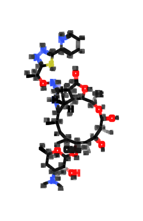 CC[C@@H]1OC(=O)[C@H](C)C(=O)[C@H](C)[C@@H](OC2O[C@H](C)C[C@H](N(C)C)[C@H]2O)[C@](C)(OC)C[C@@H](C)C2=N/C(=N\O[C@@H](C)c3nnc(-c4ccccn4)s3)[C@@H]3C(=O)OC1[C@H]3[C@H]2C